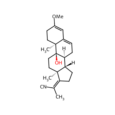 [C-]#[N+]/C(C)=C1/CC[C@H]2[C@@H]3CC=C4C=C(OC)CC[C@]4(C)[C@@]3(O)CC[C@]12C